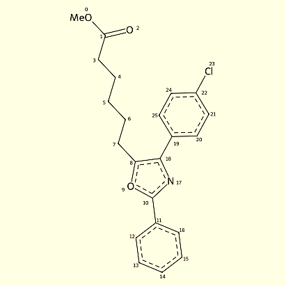 COC(=O)CCCCCc1oc(-c2ccccc2)nc1-c1ccc(Cl)cc1